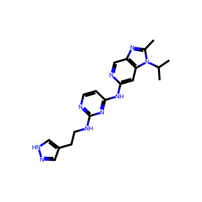 Cc1nc2cnc(Nc3ccnc(NCCc4cn[nH]c4)n3)cc2n1C(C)C